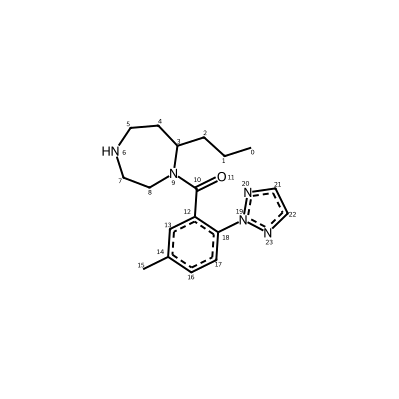 CCCC1CCNCCN1C(=O)c1cc(C)ccc1-n1nccn1